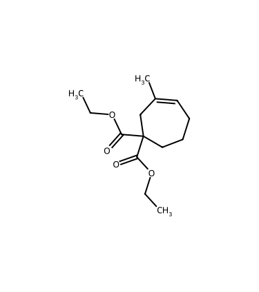 CCOC(=O)C1(C(=O)OCC)CCCC=C(C)C1